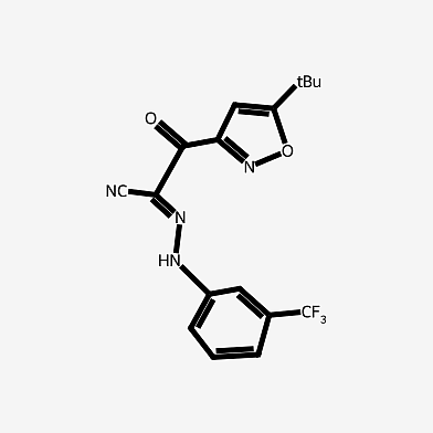 CC(C)(C)c1cc(C(=O)/C(C#N)=N/Nc2cccc(C(F)(F)F)c2)no1